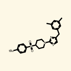 Cc1cc(C)cc(Cc2csc(N3CCC(S(=O)(=O)c4ccc(C(C)(C)C)cc4)CC3)n2)c1